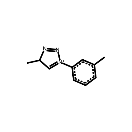 Cc1cccc([N+]2=CC(C)N=N2)c1